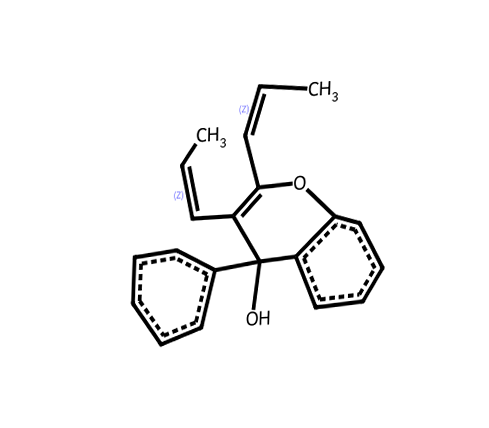 C/C=C\C1=C(/C=C\C)C(O)(c2ccccc2)c2ccccc2O1